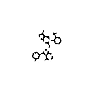 Cc1csc2nc(Cn3nc(-c4cccc(O)c4)c4c(N)ncnc43)n(-c3ccccc3C(F)(F)F)c(=O)c12